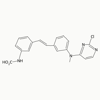 CN(c1cccc(C=Cc2cccc(NC(=O)O)c2)c1)c1ccnc(Cl)n1